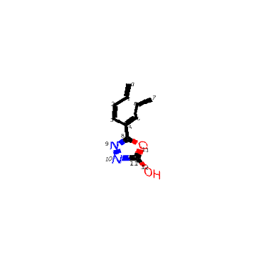 C=C/C=C\C(=C/C=C)c1nnc(O)o1